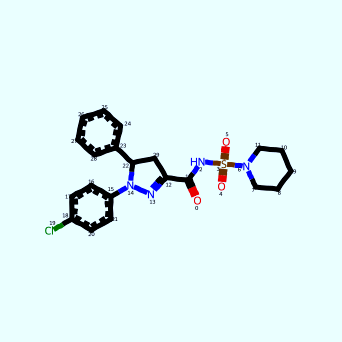 O=C(NS(=O)(=O)N1CCCCC1)C1=NN(c2ccc(Cl)cc2)C(c2ccccc2)C1